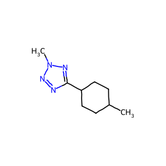 CC1CCC(c2nnn(C)n2)CC1